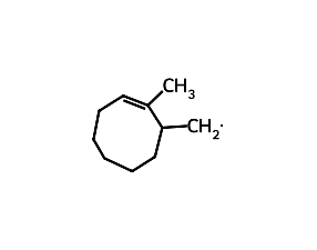 [CH2]C1CCCCCC=C1C